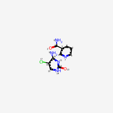 NC(=O)c1cccnc1.Nc1nc(=O)[nH]cc1Cl